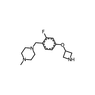 CN1CCN(Cc2ccc(OC3CNC3)cc2F)CC1